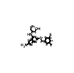 CC(C)CC(CO)Nc1nc(SCc2cc(F)cc(F)c2)nc2nc(N)sc12